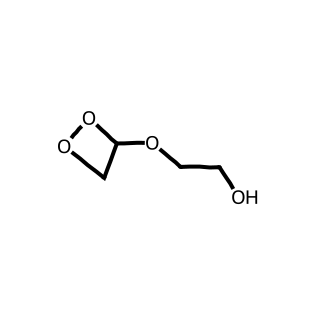 OCCOC1COO1